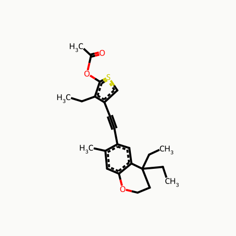 CCc1c(C#Cc2cc3c(cc2C)OCCC3(CC)CC)csc1OC(C)=O